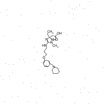 CCC1(CC(=O)O)N=C(NCCCOc2cccc(CN3CCCCC3)c2)N(C)N1